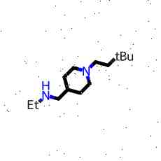 CCNCC1CCN(CCC(C)(C)C)CC1